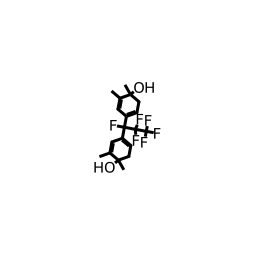 CC1=CC(C(F)(C2=CCC(C)(O)C(C)=C2)C(F)(F)C(F)(F)F)=CCC1(C)O